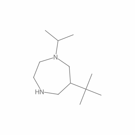 CC(C)N1CCNCC(C(C)(C)C)C1